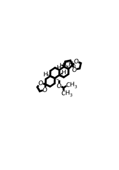 CC(C)OC[C@]12CCC3(C[C@H]1CC[C@@H]1[C@@H]2CC[C@@]2(C)[C@H]1CCC21OCCO1)OCCO3